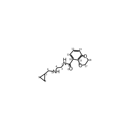 O=C(NCCNCC1CC1)c1cccc2c1OCCO2